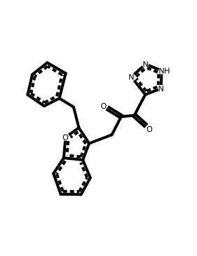 O=C(Cc1c(Cc2ccccc2)oc2ccccc12)C(=O)c1nn[nH]n1